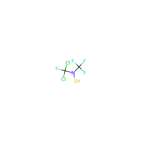 FC(F)(F)N(S)C(F)(Cl)Cl